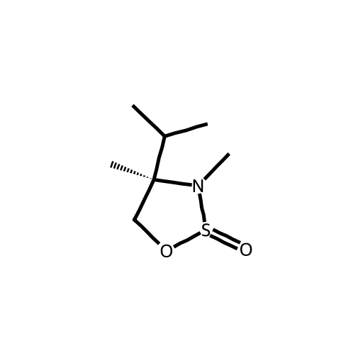 CC(C)[C@]1(C)COS(=O)N1C